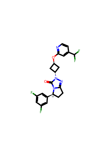 O=c1n2c(nn1[C@H]1C[C@H](Oc3cc(C(F)F)ccn3)C1)CC[C@H]2c1cc(F)cc(F)c1